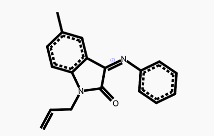 C=CCN1C(=O)/C(=N\c2ccccc2)c2cc(C)ccc21